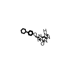 Cn1c(=O)n2nc(COc3ccc(C4CCCCC4)cc3)nc2c2[nH]cnc21